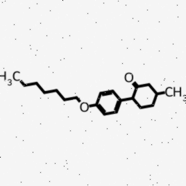 CCCCCCCOc1ccc(C2CCC(C)CC2=O)cc1